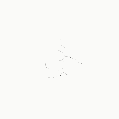 NC(=O)OC[C@@H]1[C@H](NC(=O)C(=NOCCI)c2csc(N)n2)C(=O)N1S(=O)(=O)O